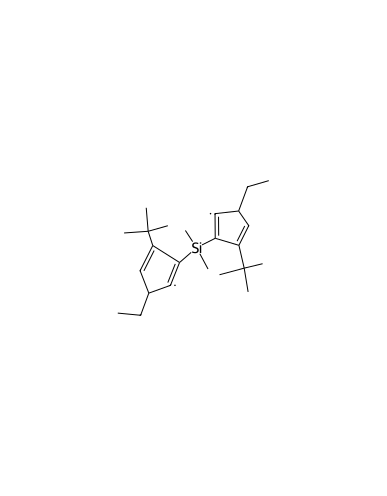 CCC1[C]=C([Si](C)(C)C2=[C]C(CC)C=C2C(C)(C)C)C(C(C)(C)C)=C1